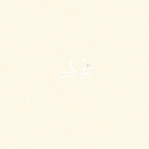 CC1(O)CCCNC1(C)C